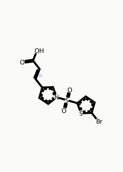 O=C(O)/C=C/c1ccn(S(=O)(=O)c2ccc(Br)s2)c1